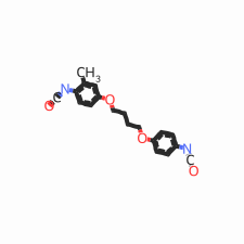 Cc1cc(OCCCCOc2ccc(N=C=O)cc2)ccc1N=C=O